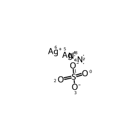 O=S(=O)([O-])[O-].[Ag+].[Ag+].[N].[N]